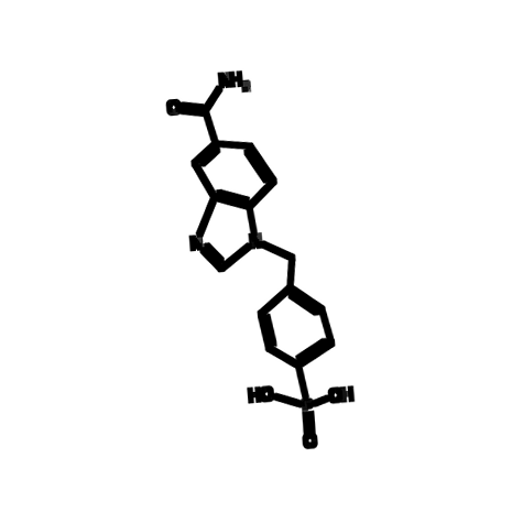 NC(=O)c1ccc2c(c1)ncn2Cc1ccc(P(=O)(O)O)cc1